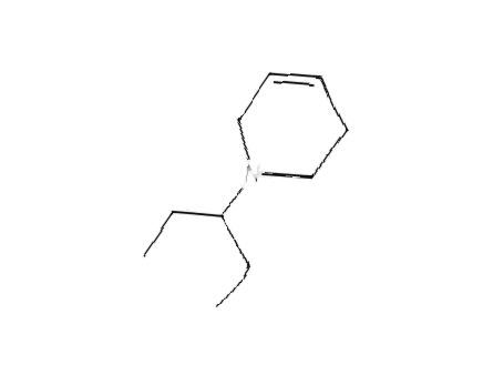 CCC(CC)N1CC=CCC1